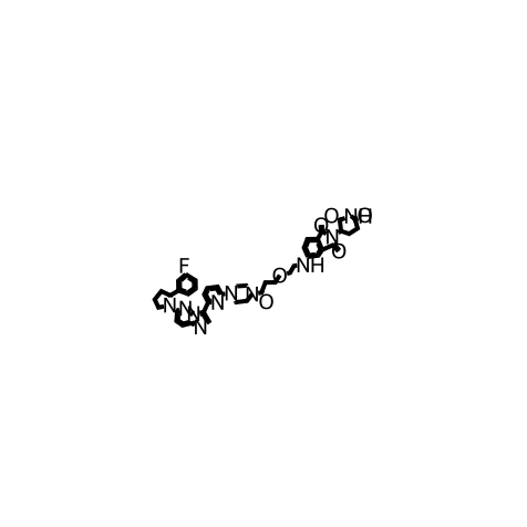 O=C1CCC(N2C(=O)c3ccc(NCCOCCC(=O)N4CCN(c5cccc(-c6cnc7ccc(N8CCCC8c8cccc(F)c8)nn67)n5)CC4)cc3C2=O)C(=O)N1